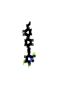 CCc1ccc(-c2ccc(C#Cc3cc(F)c(F)nc3F)cc2)cc1